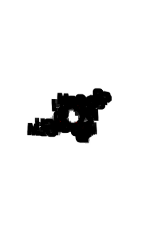 CC[C@H]1OC(=O)[C@H](C)[C@@H](O[C@H]2C[C@@](C)(OC)[C@@H](O)[C@H](C)O2)[C@H](C)[C@@H](O[C@@H]2O[C@H](C)C[C@H](N(C)CCc3cn([C@H](CF)[C@H](OC)c4ccc(S(=O)(=O)N5CCCC5)cc4)nn3)[C@H]2O)[C@](C)(O)C[C@@H](C)CN(C)[C@H](C)[C@@H](O)[C@]1(C)O